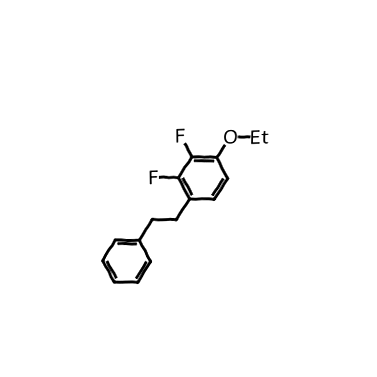 CCOc1ccc(CCc2ccccc2)c(F)c1F